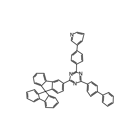 c1ccc(-c2ccc(-c3nc(-c4ccc(-c5cccnc5)cc4)nc(-c4ccc5c(c4)-c4ccccc4C54c5ccccc5-c5ccccc54)n3)cc2)cc1